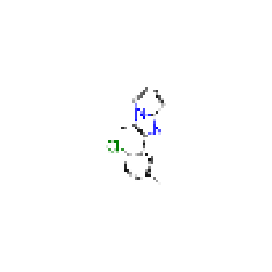 Cc1ccc(Cl)c(-c2nc3ccccn3c2C)c1